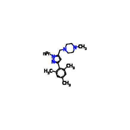 CCCn1nc(-c2c(C)cc(C)cc2C)cc1CN1CCN(C)CC1